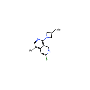 CNC1CN(c2ncc(C(C)C)c3cc(Cl)ncc23)C1